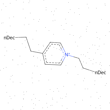 CCCCCCCCCCCCc1cc[n+](CCCCCCCCCCCC)cc1